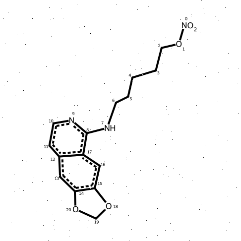 O=[N+]([O-])OCCCCCNc1nccc2cc3c(cc12)OCO3